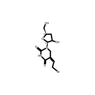 O=C1NC(=O)N([C@H]2O[C@@H](CO)CC2O)CC1=CCBr